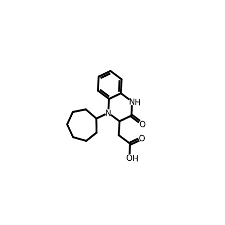 O=C(O)CC1C(=O)Nc2ccccc2N1C1CCCCCC1